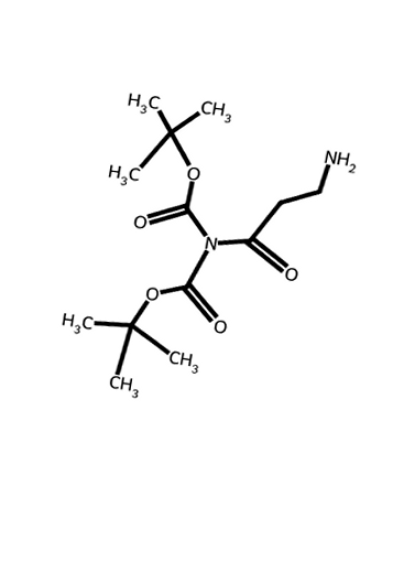 CC(C)(C)OC(=O)N(C(=O)CCN)C(=O)OC(C)(C)C